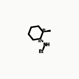 CCN[C@@H]1CCCC[C@H]1C